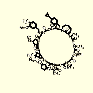 CCO[C@@H]1C[C@H]2C(=O)NC3(CC(C)(C)C3)C(=O)N(C)[C@@H](C3CCCC3)C(=O)N(C)[C@H](C(=O)N(C)C)CC(=O)N(C)[C@@H](CC(C)C)C(=O)N[C@@H]([C@@H](C)CC)C(=O)N(C)CC(=O)N(C)[C@H]3C/C=C\CCN(C3=O)[C@@H](Cc3ccc(C4CC4)cc3)C(=O)N(C)CC(=O)N[C@@H](CCc3ccc(C(F)(F)F)c(OC)c3)C(=O)N2C1